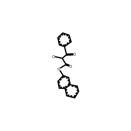 O=C(Oc1ccc2ccccc2c1)C(Cl)C(=O)c1ccccc1